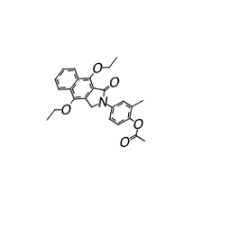 CCOc1c2c(c(OCC)c3ccccc13)C(=O)N(c1ccc(OC(C)=O)c(C)c1)C2